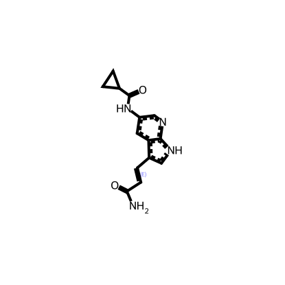 NC(=O)/C=C/c1c[nH]c2ncc(NC(=O)C3CC3)cc12